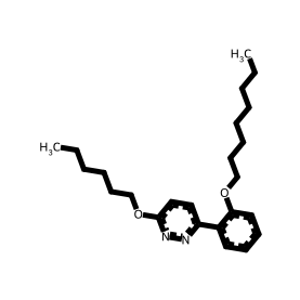 CCCCCCCCOc1ccccc1-c1ccc(OCCCCCC)nn1